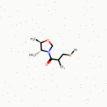 CC(=O)SCC(C(=O)N1CO[C@H](C)[C@H]1C(=O)O)C(F)(F)F